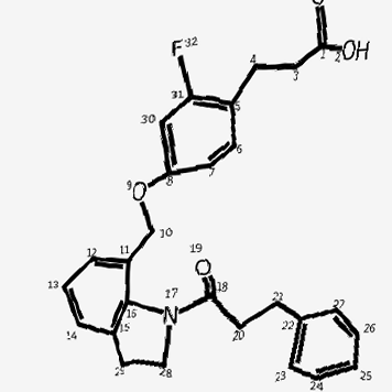 O=C(O)CCc1ccc(OCc2cccc3c2N(C(=O)CCc2ccccc2)CC3)cc1F